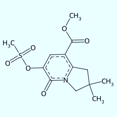 COC(=O)c1cc(OS(C)(=O)=O)c(=O)n2c1CC(C)(C)C2